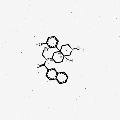 CC(C)CN(C(=O)c1ccc2ccccc2c1)[C@@H]1CC[C@]2(O)CN(C)CC[C@@]2(c2cccc(O)c2)C1